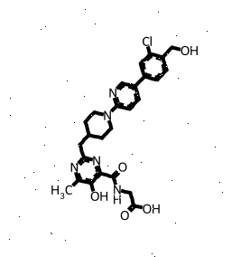 Cc1nc(CC2CCN(c3ccc(-c4ccc(CO)c(Cl)c4)cn3)CC2)nc(C(=O)NCC(=O)O)c1O